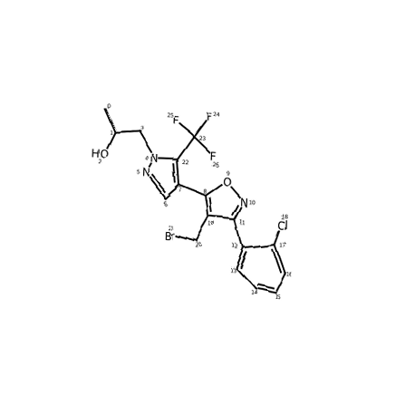 CC(O)Cn1ncc(-c2onc(-c3ccccc3Cl)c2CBr)c1C(F)(F)F